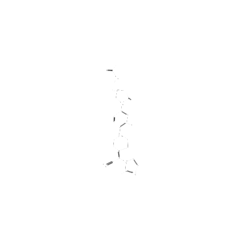 CC(=O)NC[C@H]1CN(c2ccc(N3CCC(=C(C#N)n4ccnc4C)CC3)c(F)c2)C(=O)O1